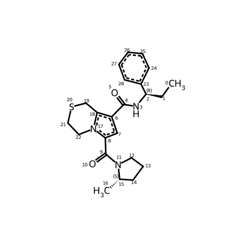 CC[C@@H](NC(=O)c1cc(C(=O)N2CCC[C@@H]2C)n2c1CSCC2)c1ccccc1